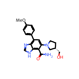 COc1ccc(-c2cc(N3CC[C@H](CO)C3)c(C(N)=O)c3[nH]cnc23)cc1